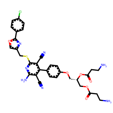 N#Cc1c(N)nc(SCc2coc(-c3ccc(Cl)cc3)n2)c(C#N)c1-c1ccc(OC[C@@H](COC(=O)CCN)OC(=O)CCN)cc1